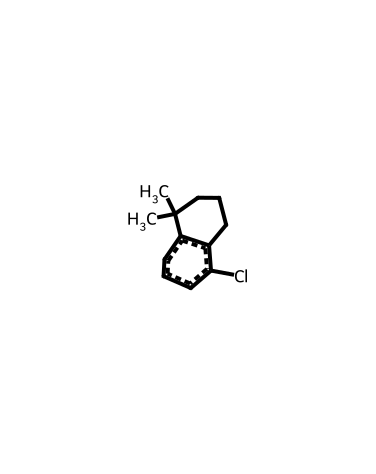 CC1(C)CCCc2c(Cl)cccc21